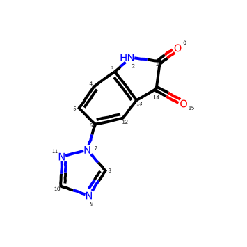 O=C1Nc2ccc(-n3cncn3)cc2C1=O